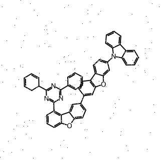 C1=CCC(c2nc(-c3ccccc3)nc(-c3cccc4oc5ccc(-c6ccc7c(c6)oc6cc(-n8c9ccccc9c9ccccc98)ccc67)cc5c34)n2)C=C1